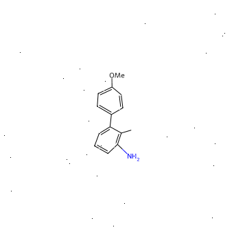 COc1ccc(-c2cccc(N)c2C)cc1